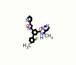 Cc1ccc(-c2cc(C(=O)NC(C)c3ccncn3)cc(C3=NOC(c4ccccn4)C3)c2)c(F)c1